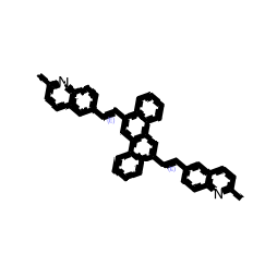 Cc1ccc2cc(/C=C/c3cc4c5ccccc5c(/C=C/c5ccc6nc(C)ccc6c5)cc4c4ccccc34)ccc2n1